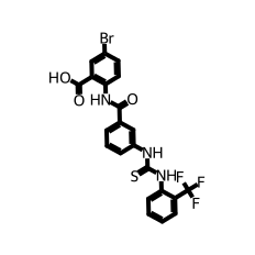 O=C(Nc1ccc(Br)cc1C(=O)O)c1cccc(NC(=S)Nc2ccccc2C(F)(F)F)c1